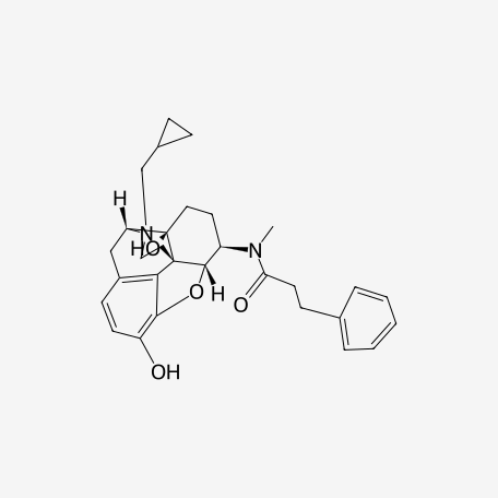 CN(C(=O)CCc1ccccc1)[C@@H]1CC[C@@]2(O)[C@H]3Cc4ccc(O)c5c4[C@@]2(CCN3CC2CC2)[C@H]1O5